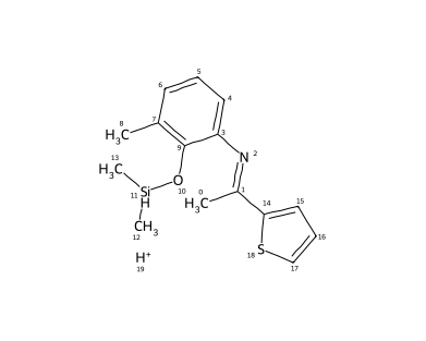 CC(=Nc1cccc(C)c1O[SiH](C)C)c1cccs1.[H+]